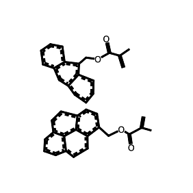 C=C(C)C(=O)OCc1c2ccccc2cc2ccccc12.C=C(C)C(=O)OCc1ccc2ccc3cccc4ccc1c2c34